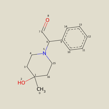 CC1(O)CCN(C([C]=O)c2ccccc2)CC1